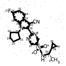 C[C@H](NS(=O)(=O)c1cnc(-c2c(C#N)c3ccc(F)cc3n2C2CCCC2)nc1)C1CC1